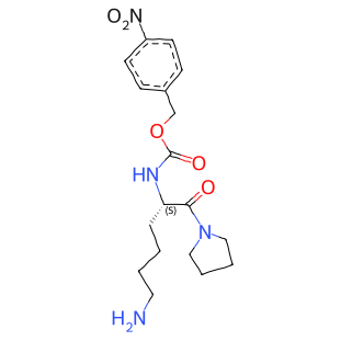 NCCCC[C@H](NC(=O)OCc1ccc([N+](=O)[O-])cc1)C(=O)N1CCCC1